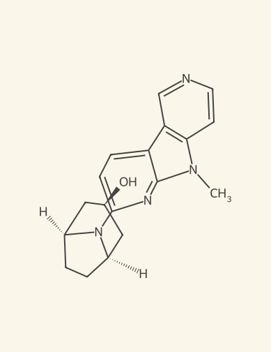 Cn1c2ccncc2c2ccc(N3[C@@H]4CC[C@H]3C[C@@H](O)C4)nc21